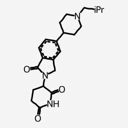 CC(C)CN1CCC(c2ccc3c(c2)CN(C2CCC(=O)NC2=O)C3=O)CC1